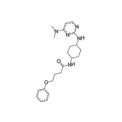 CN(C)c1ccnc(NC2CCC(NC(=O)CCCOc3ccccc3)CC2)n1